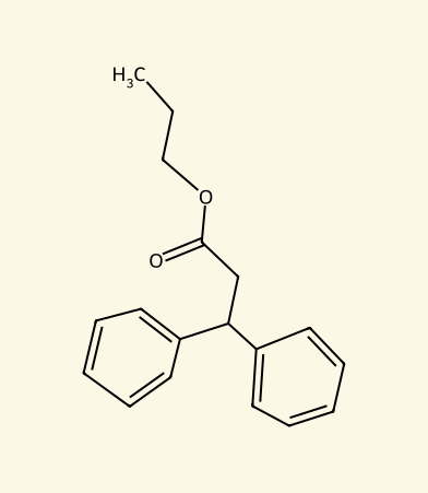 CCCOC(=O)CC(c1ccccc1)c1ccccc1